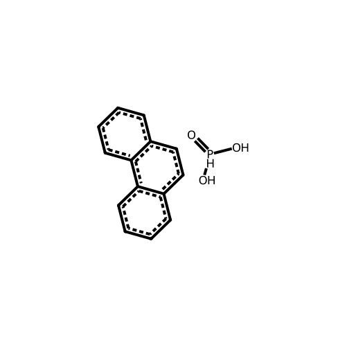 O=[PH](O)O.c1ccc2c(c1)ccc1ccccc12